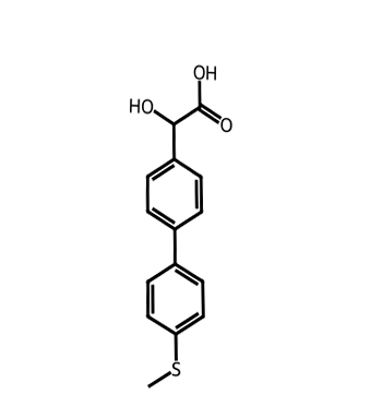 CSc1ccc(-c2ccc(C(O)C(=O)O)cc2)cc1